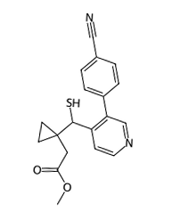 COC(=O)CC1(C(S)c2ccncc2-c2ccc(C#N)cc2)CC1